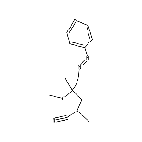 COC(C)(CN=Nc1ccccc1)CC(C)C#N